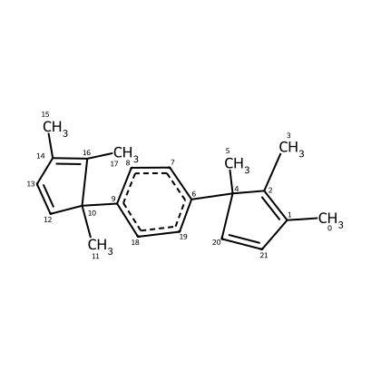 CC1=C(C)C(C)(c2ccc(C3(C)C=CC(C)=C3C)cc2)C=C1